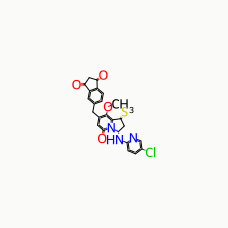 COc1c(Cc2ccc3c(c2)C(=O)CC3=O)cc(=O)n2c1C(=S)C[C@@H]2Nc1ccc(Cl)cn1